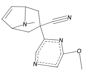 COc1cncc(C2(C#N)CC3C=CC(C2)N3C)n1